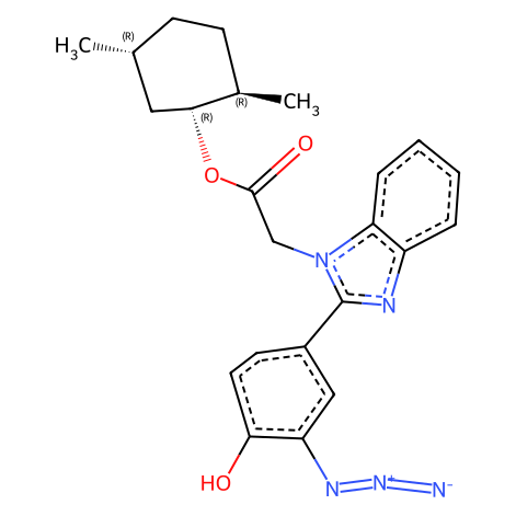 C[C@@H]1CC[C@@H](C)[C@H](OC(=O)Cn2c(-c3ccc(O)c(N=[N+]=[N-])c3)nc3ccccc32)C1